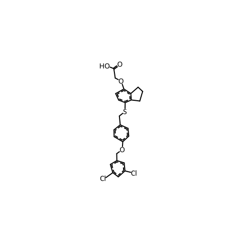 O=C(O)COc1ccc(SCc2ccc(OCc3cc(Cl)cc(Cl)c3)cc2)c2c1CCC2